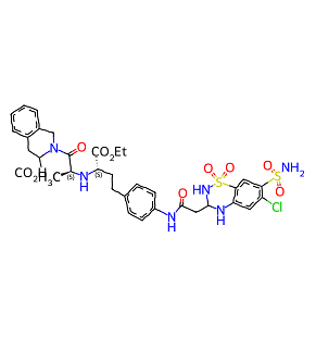 CCOC(=O)[C@H](CCc1ccc(NC(=O)CC2Nc3cc(Cl)c(S(N)(=O)=O)cc3S(=O)(=O)N2)cc1)N[C@@H](C)C(=O)N1Cc2ccccc2CC1C(=O)O